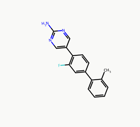 Cc1ccccc1-c1ccc(-c2cnc(N)nc2)c(F)c1